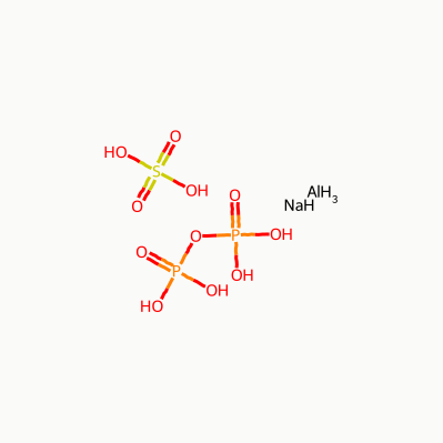 O=P(O)(O)OP(=O)(O)O.O=S(=O)(O)O.[AlH3].[NaH]